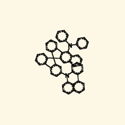 c1ccc(-c2ccccc2N(c2ccccc2)c2ccc3c(c2)C2(c4ccccc4-3)c3ccccc3-c3c2cc2ccccc2c3N(c2ccccc2)c2ccccc2)cc1